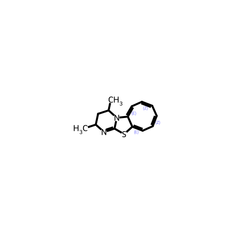 CC1CC(C)N2C(=N1)SC1=C/C=C\C=C/C=C\12